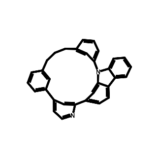 c1cc2cc(c1)-c1ccnc(c1)-c1ccc3c4ccccc4n(c3c1)-c1cccc(c1)CCC2